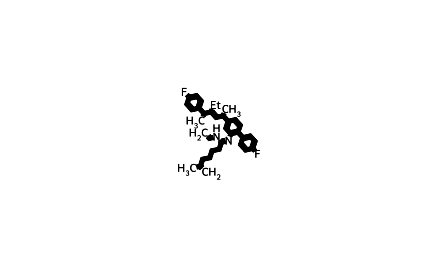 C=CN/C(CCCCC(=C)C)=N\c1cc(C(C)/C=C(\CC)C(C)c2ccc(F)cc2)ccc1-c1ccc(F)cc1